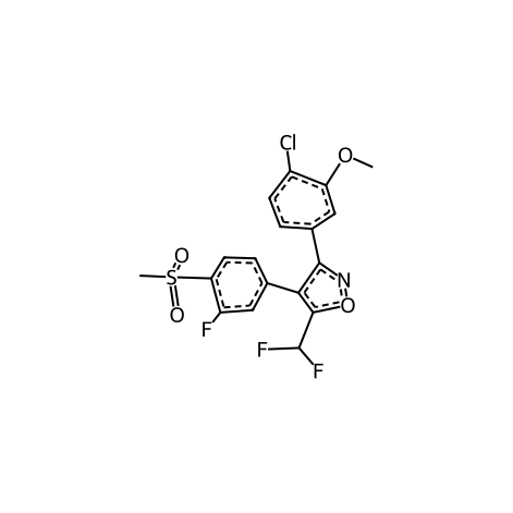 COc1cc(-c2noc(C(F)F)c2-c2ccc(S(C)(=O)=O)c(F)c2)ccc1Cl